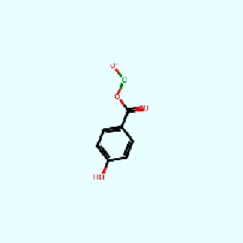 O=C(O[Cl+][O-])c1ccc(O)cc1